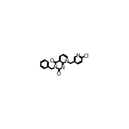 O=c1nc2n(Cc3ccc(Cl)nc3)cccc-2c(=O)n1Cc1ccccc1